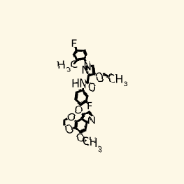 CCOc1cn(-c2ccc(F)cc2C)nc1C(=O)Nc1ccc(Oc2ccnc3cc(OC)c4c(c23)OCCO4)c(F)c1